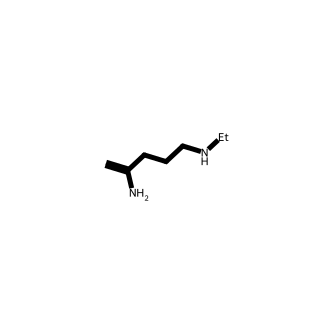 C=C(N)CCCNCC